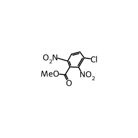 COC(=O)c1c([N+](=O)[O-])ccc(Cl)c1[N+](=O)[O-]